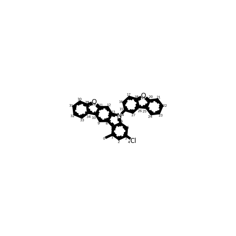 Cc1cc(Cl)cc2c1c1cc3c(cc1n2-c1ccc2oc4ccccc4c2c1)oc1ccccc13